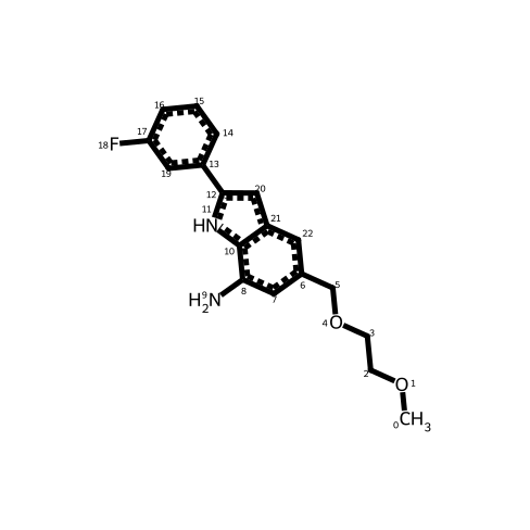 COCCOCc1cc(N)c2[nH]c(-c3cccc(F)c3)cc2c1